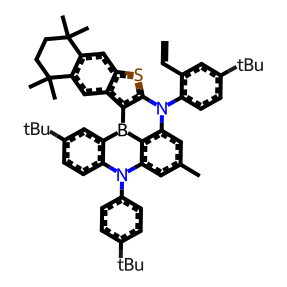 C=Cc1cc(C(C)(C)C)ccc1N1c2cc(C)cc3c2B(c2cc(C(C)(C)C)ccc2N3c2ccc(C(C)(C)C)cc2)c2c1sc1cc3c(cc21)C(C)(C)CCC3(C)C